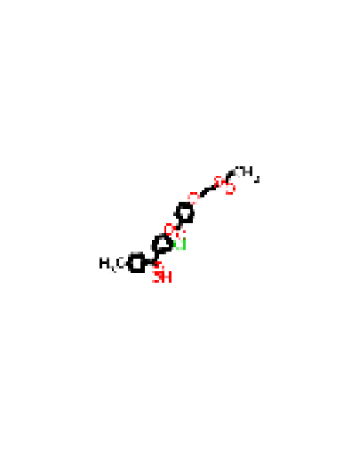 C=CC(=O)OCCCOc1ccc(C(=O)Oc2ccc(C(OO)c3ccc(C)cc3)cc2Cl)cc1